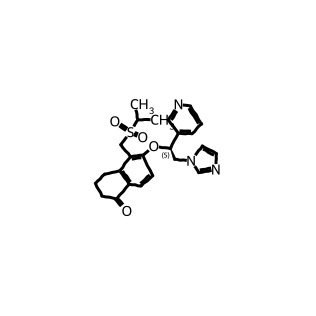 CC(C)S(=O)(=O)Cc1c(O[C@H](Cn2ccnc2)c2cccnc2)ccc2c1CCCC2=O